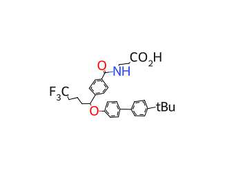 CC(C)(C)c1ccc(-c2ccc(OC(CCCC(F)(F)F)c3ccc(C(=O)NCCC(=O)O)cc3)cc2)cc1